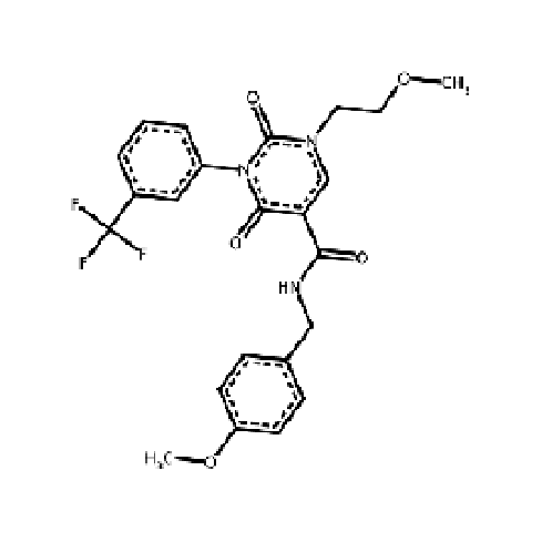 COCCn1cc(C(=O)NCc2ccc(OC)cc2)c(=O)n(-c2cccc(C(F)(F)F)c2)c1=O